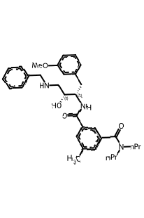 CCCN(CCC)C(=O)c1cc(C)cc(C(=O)N[C@@H](Cc2cccc(OC)c2)[C@H](O)CNCc2ccccc2)c1